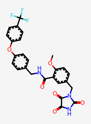 COc1ccc(CN2C(=O)NC(=O)C2=O)cc1C(=O)NCc1ccc(Oc2ccc(C(F)(F)F)cc2)cc1